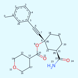 Cc1cccc(C#C[C@@]2(OC(=O)C3CCOCC3)CCC[C@@H](C(N)=O)C2)c1